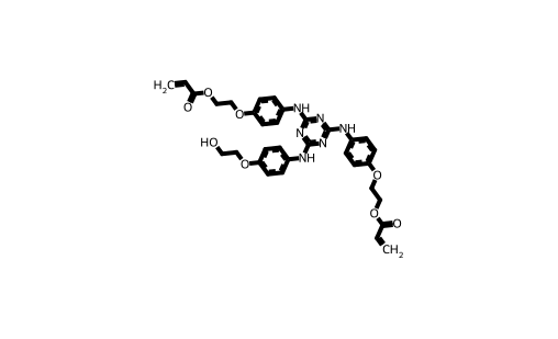 C=CC(=O)OCCOc1ccc(Nc2nc(Nc3ccc(OCCO)cc3)nc(Nc3ccc(OCCOC(=O)C=C)cc3)n2)cc1